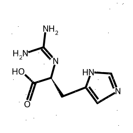 NC(N)=N[C@@H](Cc1cnc[nH]1)C(=O)O